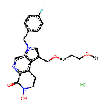 CCOCCCOCc1cn(Cc2ccc(F)cc2)c2cnc3c(c12)CCN(O)C3=O.Cl